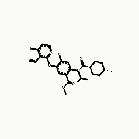 COC(=O)c1cc(Oc2nccc(I)c2C=O)c(F)cc1N(C(=O)[C@H]1CC[C@H](C)CC1)C(C)C